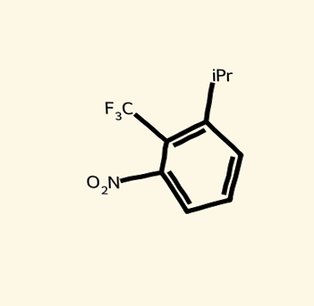 [CH2]C(C)c1cccc([N+](=O)[O-])c1C(F)(F)F